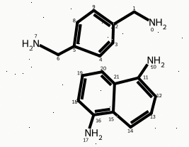 NCc1ccc(CN)cc1.Nc1cccc2c(N)cccc12